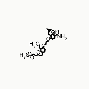 CCCc1c(OCCCOc2ccc(C(N)=O)c(O)c2CC2CC2)ccc2c1OC(CCC(=O)OC)CC2